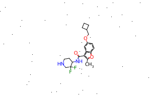 Cc1oc2ccc(OCC3CCC3)cc2c1C(=O)NC1CCNCC1(F)F